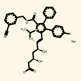 CC(C)n1c(C=C[C@@H](O)C[C@@H](O)CC(=O)[O-])c(-c2ccc(F)cc2)c(-c2ccccc2)c1C(=O)NCc1cccc(C#N)c1.[Na+]